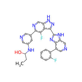 CCC(O)Nc1cncc(-c2ncc3[nH]nc(-c4nc5c(-c6ccccc6F)cncc5[nH]4)c3c2F)c1